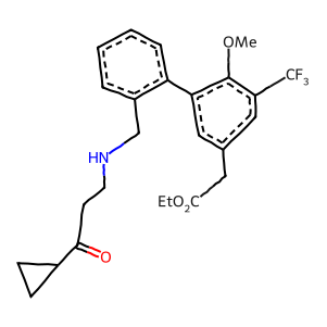 CCOC(=O)Cc1cc(-c2ccccc2CNCCC(=O)C2CC2)c(OC)c(C(F)(F)F)c1